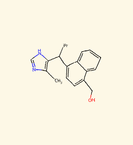 Cc1nc[nH]c1C(c1ccc(CO)c2ccccc12)C(C)C